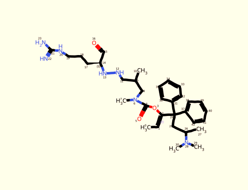 C/C=C(\OC(=O)N(C)CC(C)CNN[C@H](C=O)CCCNC(=N)N)C(CC(C)N(C)C)(c1ccccc1)c1ccccc1